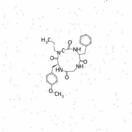 CCCN1CC(=O)NC(Cc2ccccc2)C(=O)NCC(=O)N[C@@H](Cc2ccc(OC)cc2)C1=O